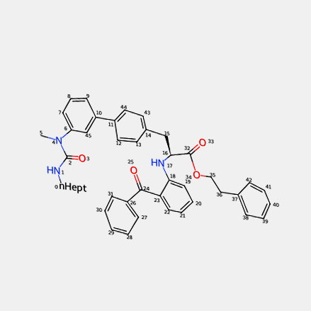 CCCCCCCNC(=O)N(C)c1cccc(-c2ccc(C[C@H](Nc3ccccc3C(=O)c3ccccc3)C(=O)OCCc3ccccc3)cc2)c1